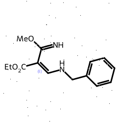 CCOC(=O)/C(=C/NCc1ccccc1)C(=N)OC